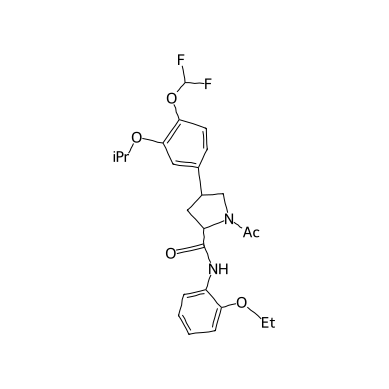 CCOc1ccccc1NC(=O)C1CC(c2ccc(OC(F)F)c(OC(C)C)c2)CN1C(C)=O